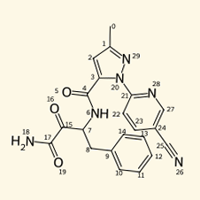 Cc1cc(C(=O)NC(Cc2ccccc2)C(=O)C(N)=O)n(-c2ccc(C#N)cn2)n1